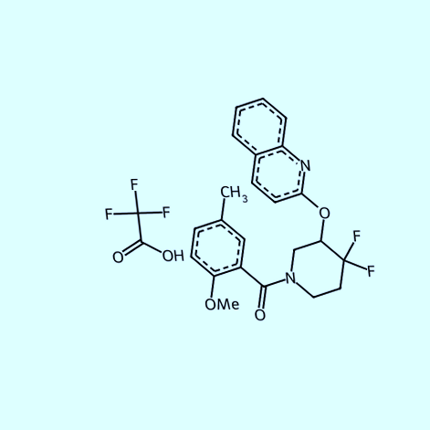 COc1ccc(C)cc1C(=O)N1CCC(F)(F)C(Oc2ccc3ccccc3n2)C1.O=C(O)C(F)(F)F